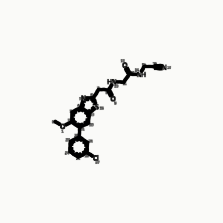 COc1cc2nc(CC(=O)NCC(=O)NCC#N)sc2cc1-c1cccc(Cl)c1